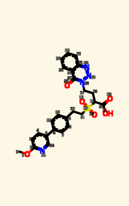 COc1ccc(-c2ccc(CCS(=O)(=O)C(CCn3nnc4ccccc4c3=O)C(=O)O)cc2)cn1